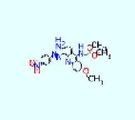 CCOc1ccc2nc3c(N=Nc4ccc([N+](=O)[O-])cc4)c(N)ccc3c(NCC(OC)OC)c2c1